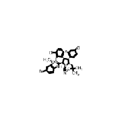 COc1cc(Br)ccc1NC(=O)[C@H]1[C@H](c2cccc(Cl)c2F)[C@H](c2ccc(Cl)cc2F)[C@@H](CC(C)(C)C)N1C#N